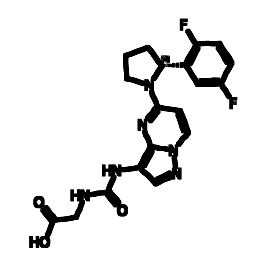 O=C(O)CNC(=O)Nc1cnn2ccc(N3CCC[C@@H]3c3cc(F)ccc3F)nc12